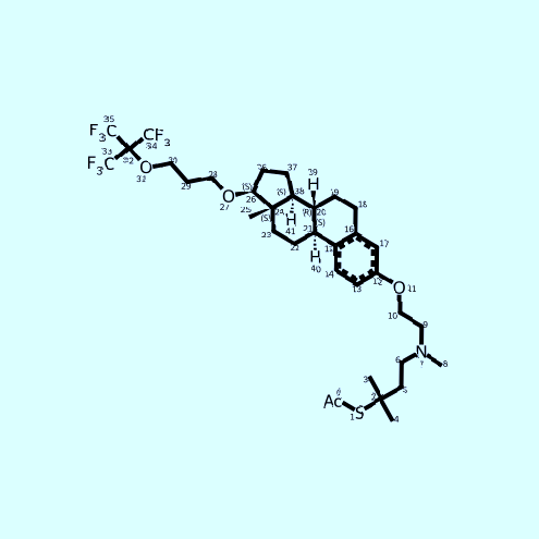 CC(=O)SC(C)(C)CCN(C)CCOc1ccc2c(c1)CC[C@@H]1[C@@H]2CC[C@]2(C)[C@@H](OCCCOC(C(F)(F)F)(C(F)(F)F)C(F)(F)F)CC[C@@H]12